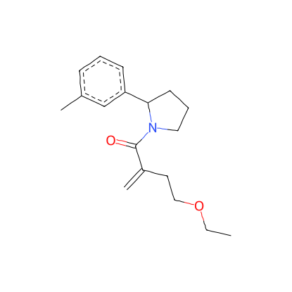 C=C(CCOCC)C(=O)N1CCCC1c1cccc(C)c1